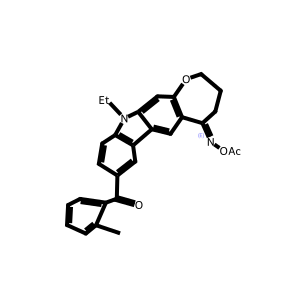 CCn1c2ccc(C(=O)c3ccccc3C)cc2c2cc3c(cc21)OCCC/C3=N\OC(C)=O